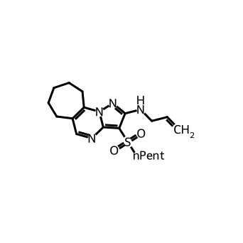 C=CCNc1nn2c3c(cnc2c1S(=O)(=O)CCCCC)CCCCC3